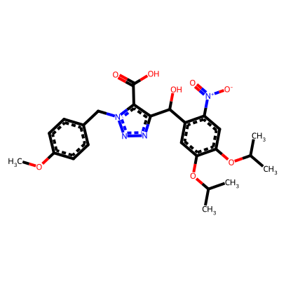 COc1ccc(Cn2nnc(C(O)c3cc(OC(C)C)c(OC(C)C)cc3[N+](=O)[O-])c2C(=O)O)cc1